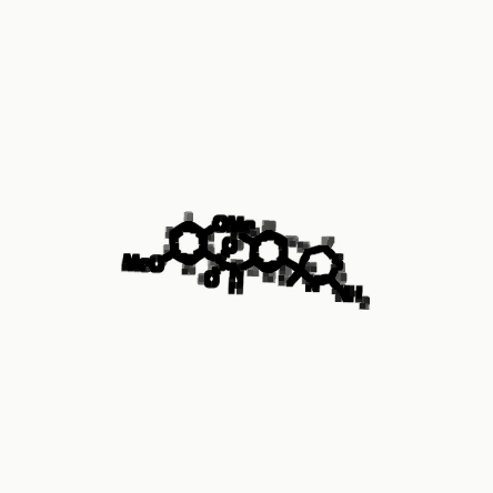 COc1ccc(OC)c(S(=O)(=O)Nc2cc(C3(C)CCSC(N)=N3)ccc2F)c1